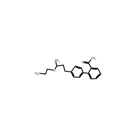 CCCOC(C)CCc1ccc(-c2ccccc2C(C)=O)cc1